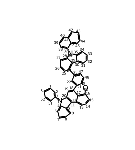 c1ccc(-n2c3ccccc3c3c4cccc5c4c(cc32)-c2cc(-c3cccc4c3c3ccccc3n4-c3cccc4ccccc34)ccc2O5)cc1